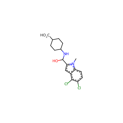 Cn1c(C(O)NC2CCC(C(=O)O)CC2)cc2c(Cl)c(Cl)ccc21